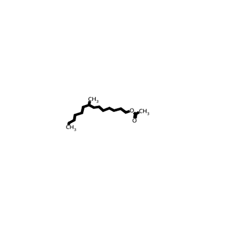 CCCCCCC(C)CCCCCCCOC(C)=O